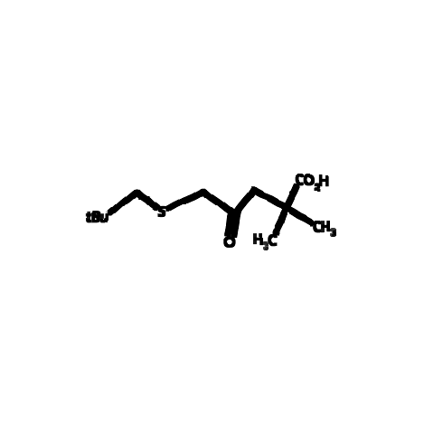 CC(C)(C)CSCC(=O)CC(C)(C)C(=O)O